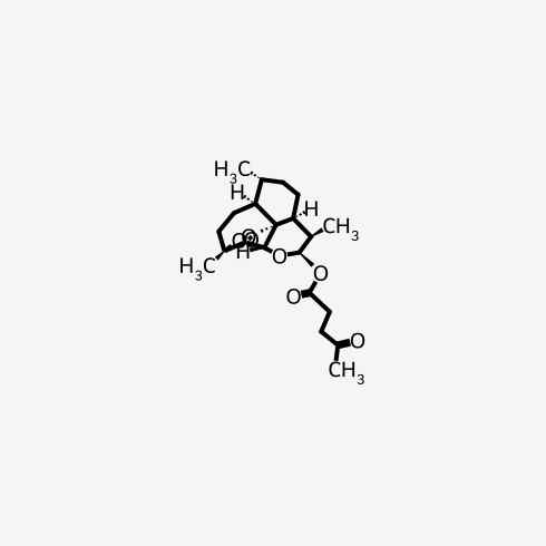 CC(=O)CCC(=O)O[C@H]1O[C@@H]2O[C@@]3(C)CC[C@H]4[C@H](C)CC[C@@H]([C@H]1C)[C@@]24OO3